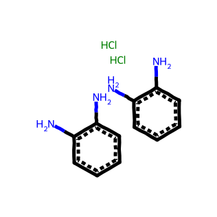 Cl.Cl.Nc1ccccc1N.Nc1ccccc1N